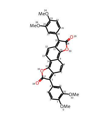 COc1ccc(C2=c3ccc4c5c(ccc4c3OC2=O)=C(c2ccc(OC)c(OC)c2)C(=O)O5)cc1OC